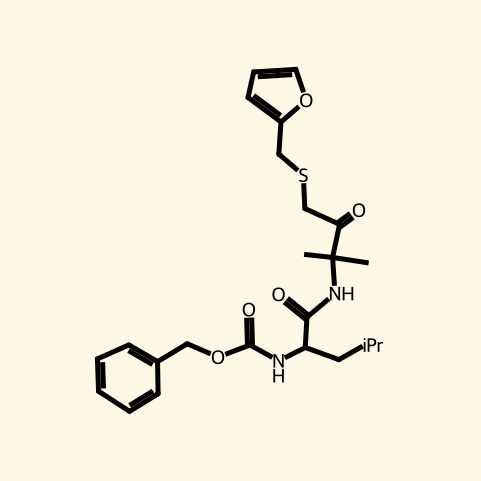 CC(C)CC(NC(=O)OCc1ccccc1)C(=O)NC(C)(C)C(=O)CSCc1ccco1